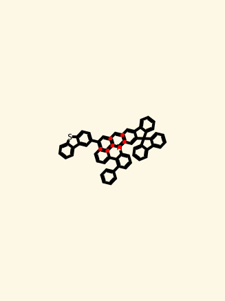 c1ccc(-c2ccccc2-c2c(-c3ccccc3)cccc2N(c2ccc(-c3ccc4sc5ccccc5c4c3)cc2)c2ccc3c(c2)C2(c4ccccc4-c4ccccc42)c2ccccc2-3)cc1